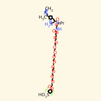 C=N/C=N\C=C(/C)c1ccc2c(c1)N=C(N)CC(C(=O)N(CCC)OCCNC(=O)OCCOCCOCCOCCOCCOCCOCCOCCOCCOCCOCCC(=O)Oc1c(F)c(F)c(S(=O)(=O)O)c(F)c1F)=C2